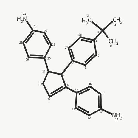 CC(C)(C)c1ccc(C2C(c3ccc(N)cc3)=CCC2c2ccc(N)cc2)cc1